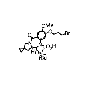 COc1cc2c(cc1OCCCBr)N(C(=O)O)C(O[Si](C)(C)C(C)(C)C)[C@@H]1CC3(CC3)CN1C2=O